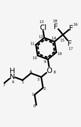 CCCC(CCNC)Oc1ccc(Cl)c(C(F)(F)F)c1